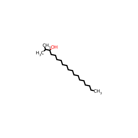 CCCCCCCCCCCCCCCCC(O)[C](C)C